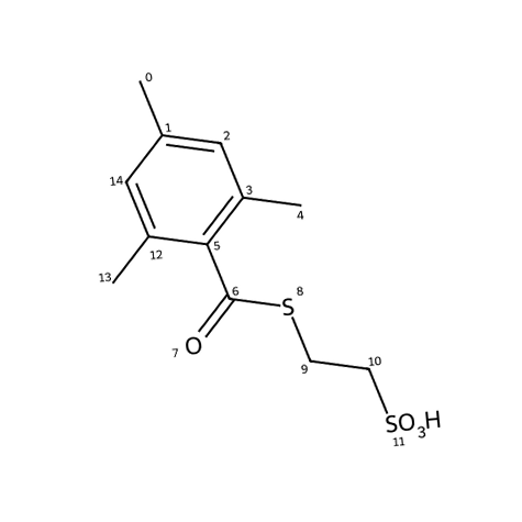 Cc1cc(C)c(C(=O)SCCS(=O)(=O)O)c(C)c1